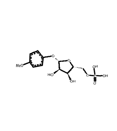 COc1ccc(O[C@@H]2O[C@H](COP(=O)(O)O)[C@@H](O)[C@H]2O)cc1